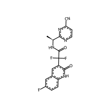 C[C@H](NC(=O)C(F)(F)c1cc2cc(F)ccc2[nH]c1=O)c1nccc(C#N)n1